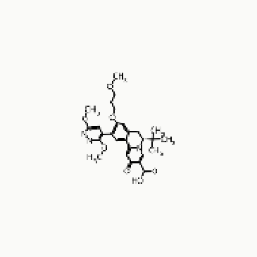 COCCCOc1cc2c(cc1-c1cc(OC)nnc1OC)-c1cc(=O)c(C(=O)O)cn1[C@H](C(C)(C)C)C2